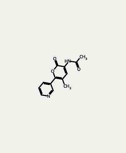 CC(=O)Nc1cc(C)c(-c2cccnc2)oc1=O